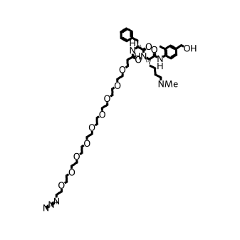 CNCCCC[C@H](NC(=O)[C@H](Cc1ccccc1)NC(=O)CCOCCOCCOCCOCCOCCOCCOCCOCCOCCN=[N+]=[N-])C(=O)Nc1ccc(CO)cc1C